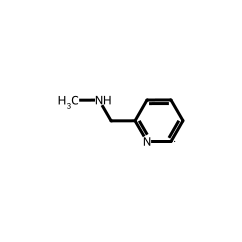 CNCc1ccc[c]n1